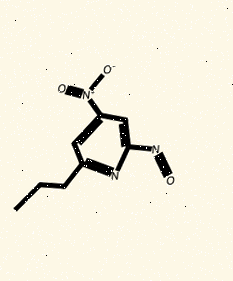 CCCc1cc([N+](=O)[O-])cc(N=O)n1